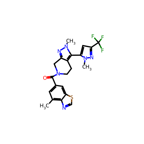 Cc1cc(C(=O)N2CCc3c(nn(C)c3-c3cc(C(F)(F)F)nn3C)C2)cc2scnc12